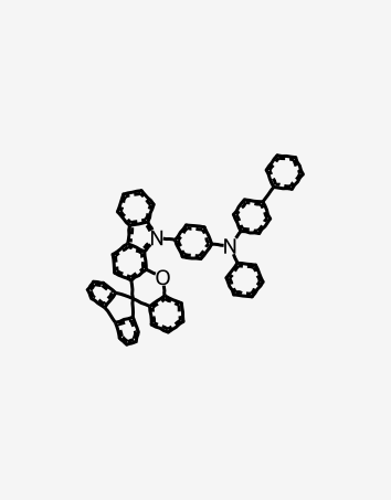 c1ccc(-c2ccc(N(c3ccccc3)c3ccc(-n4c5ccccc5c5ccc6c(c54)Oc4ccccc4C64c5ccccc5-c5ccccc54)cc3)cc2)cc1